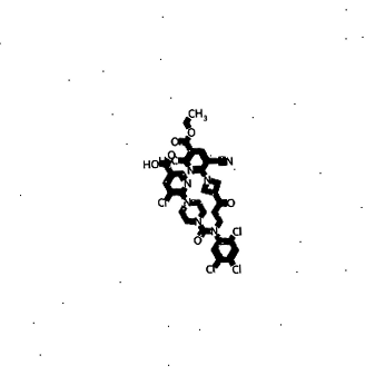 CCOC(=O)c1cc(C#N)c(N2CC(C(=O)CCN(C(=O)N3CCN(c4ncc(C(=O)O)cc4Cl)CC3)c3cc(Cl)c(Cl)cc3Cl)C2)nc1C